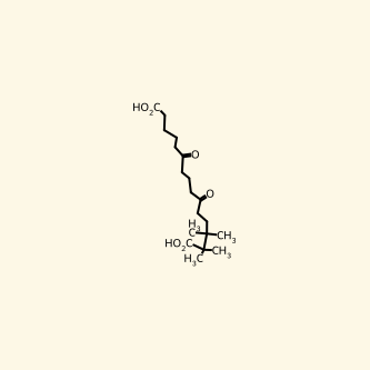 CC(C)(CCC(=O)CCCC(=O)CCCCC(=O)O)C(C)(C)C(=O)O